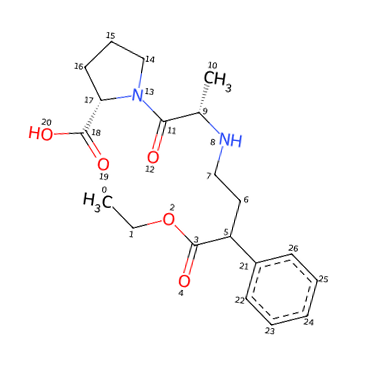 CCOC(=O)C(CCN[C@@H](C)C(=O)N1CCC[C@H]1C(=O)O)c1ccccc1